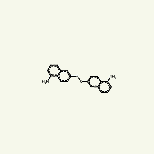 Nc1cccc2cc(SSc3ccc4c(N)cccc4c3)ccc12